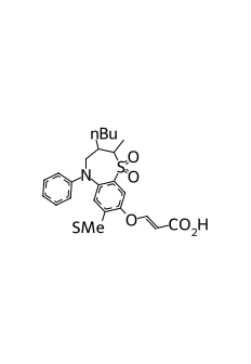 CCCCC1CN(c2ccccc2)c2cc(SC)c(O/C=C/C(=O)O)cc2S(=O)(=O)C1C